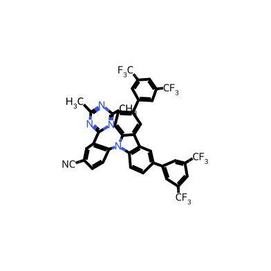 Cc1nc(C)nc(-c2cc(C#N)ccc2-n2c3ccc(-c4cc(C(F)(F)F)cc(C(F)(F)F)c4)cc3c3cc(-c4cc(C(F)(F)F)cc(C(F)(F)F)c4)ccc32)n1